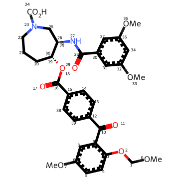 COCOc1ccc(OC)cc1C(=O)c1ccc(C(=O)O[C@@H]2CCCN(C(=O)O)C[C@H]2NC(=O)c2cc(OC)cc(OC)c2)cc1